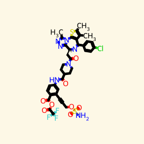 Cc1sc2c(c1C)C(c1ccc(Cl)cc1)=N[C@@H](CC(=O)N1CCC(C(=O)Nc3ccc(C(=O)OC(=O)C(F)(F)F)c(C#CCOS(N)(=O)=O)c3)CC1)c1nnc(C)n1-2